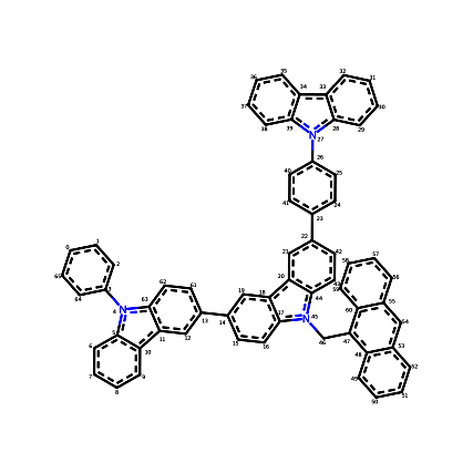 c1ccc(-n2c3ccccc3c3cc(-c4ccc5c(c4)c4cc(-c6ccc(-n7c8ccccc8c8ccccc87)cc6)ccc4n5Cc4c5ccccc5cc5ccccc45)ccc32)cc1